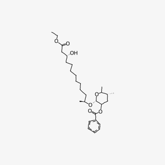 CCOC(=O)C[C@H](O)CCCCCCCC[C@H](C)O[C@@H]1OC(C)[C@H](C)CC1OC(=O)c1ccccc1